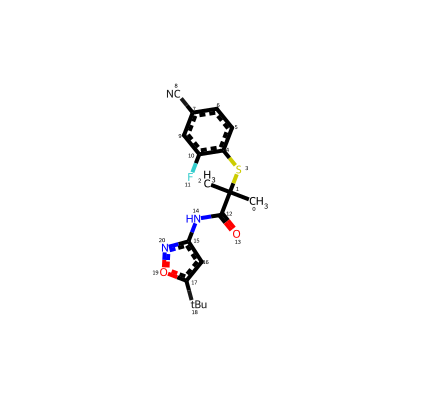 CC(C)(Sc1ccc(C#N)cc1F)C(=O)Nc1cc(C(C)(C)C)on1